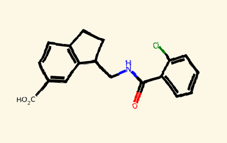 O=C(O)c1ccc2c(c1)C(CNC(=O)c1ccccc1Cl)CC2